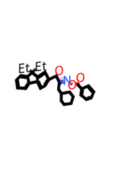 CCC1(CC)c2ccccc2-c2ccc(C(=O)/C(CC3CCCCC3)=N/OC(=O)c3ccccc3)cc21